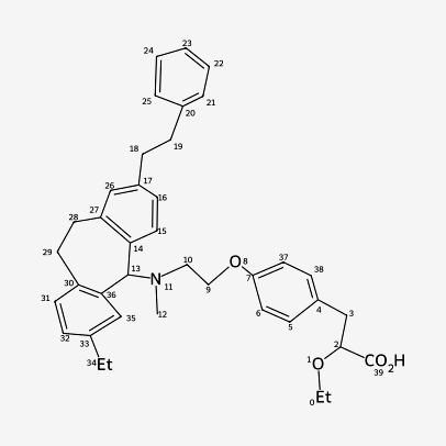 CCOC(Cc1ccc(OCCN(C)C2c3ccc(CCc4ccccc4)cc3CCc3ccc(CC)cc32)cc1)C(=O)O